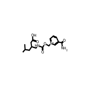 CC(C)CC(CNC(=O)OC[n+]1cccc(C(N)=O)c1)CC(=O)O